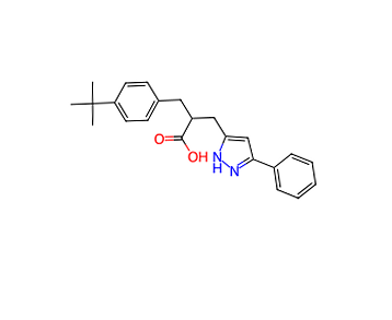 CC(C)(C)c1ccc(CC(Cc2cc(-c3ccccc3)n[nH]2)C(=O)O)cc1